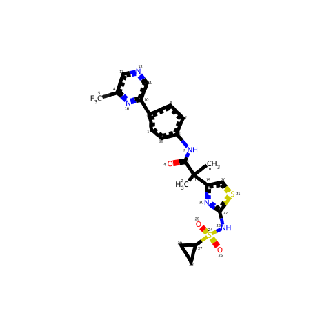 CC(C)(C(=O)Nc1ccc(-c2cncc(C(F)(F)F)n2)cc1)c1csc(NS(=O)(=O)C2CC2)n1